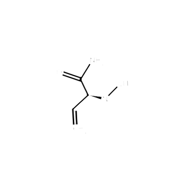 C=C[C@H](NC)C(N)=O